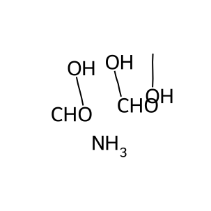 CO.N.O=CO.O=CO